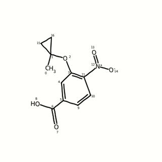 CC1(Oc2cc(C(=O)O)ccc2[N+](=O)[O-])CC1